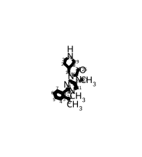 CC(C)c1ccccc1-c1ncc2c(n1)N(CC1CCNCC1)C(C=O)N2C